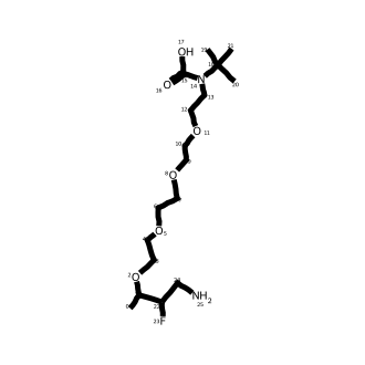 CC(OCCOCCOCCOCCN(C(=O)O)C(C)(C)C)C(F)CN